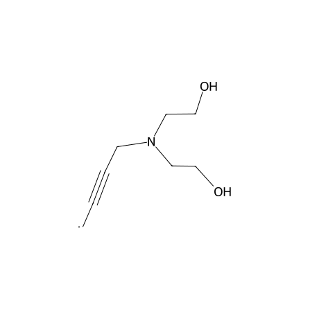 [CH2]C#CCN(CCO)CCO